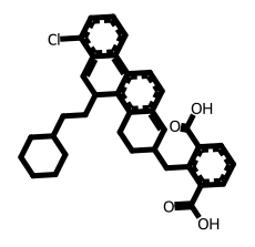 O=C(O)c1cccc(C(=O)O)c1CC1C=c2ccc3c(c2CC1)C(CCC1CCCCC1)C=c1c(Cl)cccc1=3